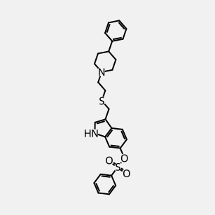 O=S(=O)(Oc1ccc2c(CSCCN3CCC(c4ccccc4)CC3)c[nH]c2c1)c1ccccc1